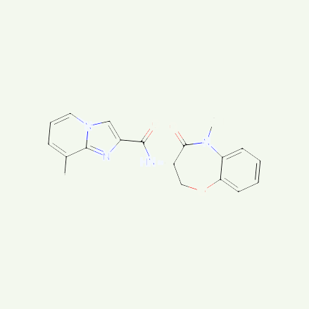 CN1C(=O)[C@@H](NC(=O)c2cn3cccc(C(F)(F)F)c3n2)COc2ccccc21